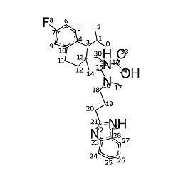 CC(C)C1c2ccc(F)cc2CCC1(CCN(C)CCCc1nc2ccccc2[nH]1)CNC(=O)O